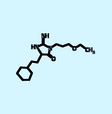 CCOCCCN1C(=N)NC(CCC2CCCCC2)C1=O